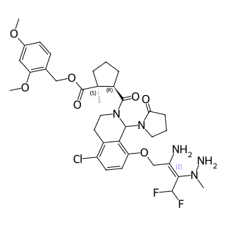 COc1ccc(COC(=O)[C@@]2(C)CCC[C@H]2C(=O)N2CCc3c(Cl)ccc(OC/C(N)=C(\C(F)F)N(C)N)c3C2N2CCCC2=O)c(OC)c1